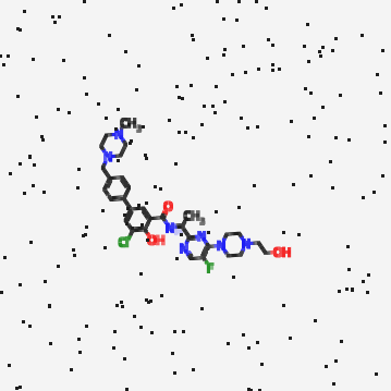 C/C(=N\C(=O)c1cc(-c2ccc(CN3CCN(C)CC3)cc2)cc(Cl)c1O)c1ncc(F)c(N2CCN(CCO)CC2)n1